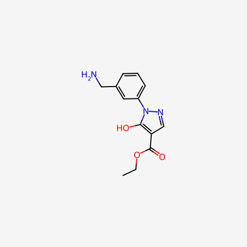 CCOC(=O)c1cnn(-c2cccc(CN)c2)c1O